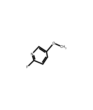 COc1[c]cc(F)nc1